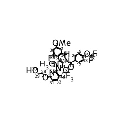 COc1cc(F)c(-c2c(NC(=O)c3ccc(OC(F)F)cc3)c(=O)n(-c3nc(OCCO)ccc3C(F)(F)F)n2C)c(F)c1